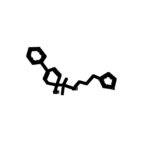 CC(C)(NCCCn1ccnc1)C1(O)C=CC(c2ccccc2)=CC1